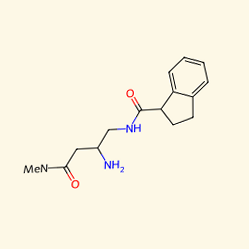 CNC(=O)CC(N)CNC(=O)C1CCc2ccccc21